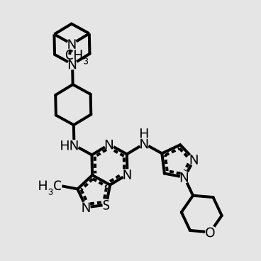 Cc1nsc2nc(Nc3cnn(C4CCOCC4)c3)nc(NC3CCC(N4CC5CC(C4)N5C)CC3)c12